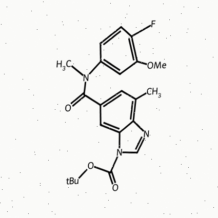 COc1cc(N(C)C(=O)c2cc(C)c3ncn(C(=O)OC(C)(C)C)c3c2)ccc1F